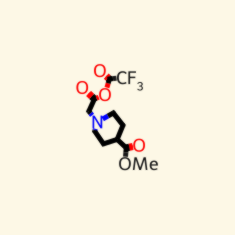 COC(=O)C1CCN(CC(=O)OC(=O)C(F)(F)F)CC1